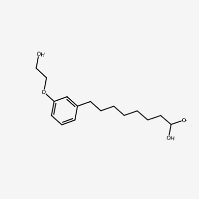 [O]C(O)CCCCCCCc1cccc(OCCO)c1